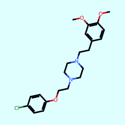 COc1ccc(CCN2CCN(CCOc3ccc(Cl)cc3)CC2)cc1OC